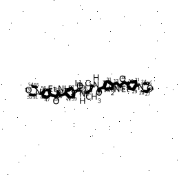 CCC(C)(CC(C)NC(=O)c1ccc(CC(N)(CC)C(=O)c2ccc(N3CCOCC3)cc2)cc1)NC(=O)c1ccc(CC(N)(CC)C(=O)c2ccc(N3CCOCC3)cc2)cc1